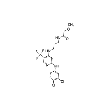 COCC(=O)NCCCNc1nc(Nc2ccc(Cl)c(Cl)c2)ncc1C(F)(F)F